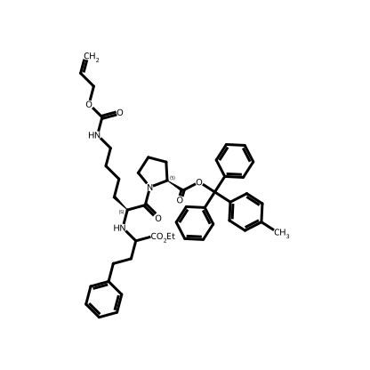 C=CCOC(=O)NCCCC[C@H](NC(CCc1ccccc1)C(=O)OCC)C(=O)N1CCC[C@H]1C(=O)OC(c1ccccc1)(c1ccccc1)c1ccc(C)cc1